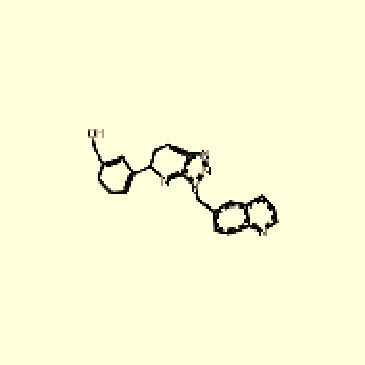 OCC1=CC(C2CC=c3nnn(Cc4ccc5ncccc5c4)c3=N2)=CCC1